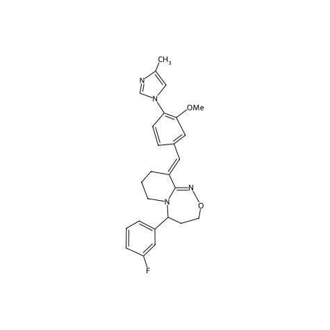 COc1cc(/C=C2\CCCN3C2=NOCCC3c2cccc(F)c2)ccc1-n1cnc(C)c1